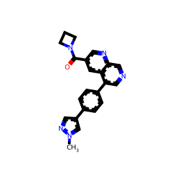 Cn1cc(-c2ccc(-c3cncc4ncc(C(=O)N5CCC5)cc34)cc2)cn1